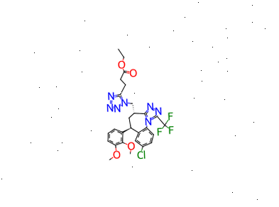 CCOC(=O)CCc1nnnn1C[C@H]1C[C@H](c2cccc(OC)c2OC)c2cc(Cl)ccc2-n2c1nnc2C(F)(F)F